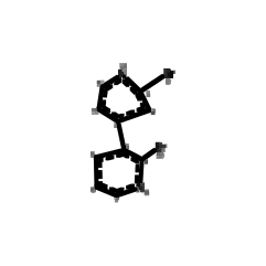 Brc1cc(-c2cccnc2Br)ccn1